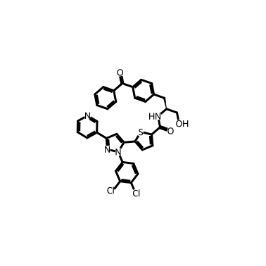 O=C(c1ccccc1)c1ccc(C[C@@H](CO)NC(=O)c2ccc(-c3cc(-c4cccnc4)nn3-c3ccc(Cl)c(Cl)c3)s2)cc1